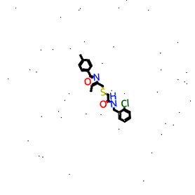 Cc1ccc(-c2nc(CSCC(=O)NCc3ccccc3Cl)c(C)o2)cc1